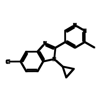 Cc1cc(-c2nc3cc(Cl)ccc3n2C2CC2)cnn1